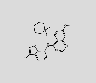 COc1cc(O[N+]2(C)CCCCC2)c2c(Nc3cccc4c(Cl)coc34)ncnc2c1